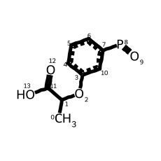 CC(Oc1cccc(P=O)c1)C(=O)O